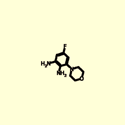 Nc1cc(F)cc(N2CCOCC2)c1N